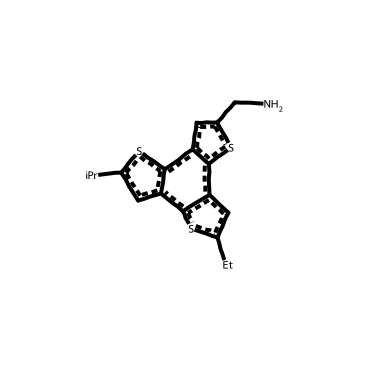 CCc1cc2c(s1)c1cc(C(C)C)sc1c1cc(CN)sc21